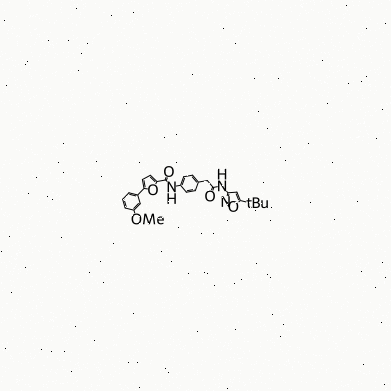 COc1cccc(-c2ccc(C(=O)Nc3ccc(CC(=O)Nc4cc(C(C)(C)C)on4)cc3)o2)c1